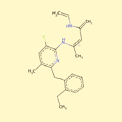 C=CNC(=C)/C=C(/C)Nc1nc(Cc2ccccc2CC)c(C)cc1F